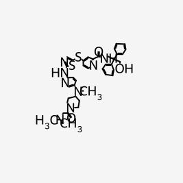 CN(C)CC(=O)N1CCC(N(C)c2ccc(Nc3ncc(Sc4ccnc(C(=O)NCC(CO)(c5ccccc5)c5ccccc5)c4)s3)nc2)CC1